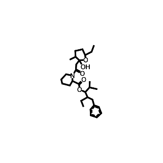 CCC1CCC(C)C(O)(CC(=O)N2CCCCC2C(=O)OC(C(C)C)C(CC)Cc2ccccc2)O1